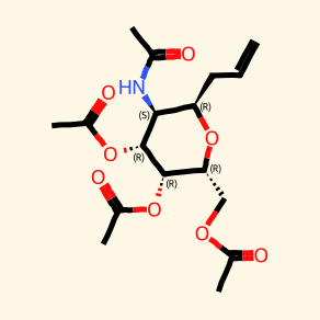 C=CC[C@H]1O[C@H](COC(C)=O)[C@H](OC(C)=O)[C@H](OC(C)=O)[C@H]1NC(C)=O